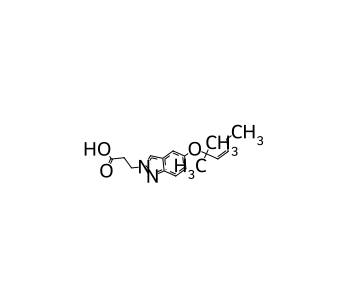 CC/C=C\C(C)(C)Oc1ccc2nn(CCC(=O)O)cc2c1